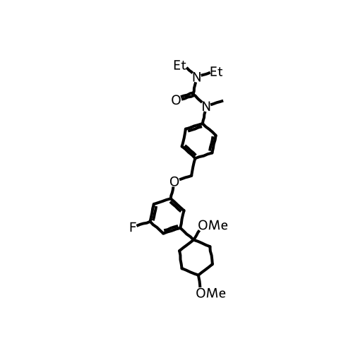 CCN(CC)C(=O)N(C)c1ccc(COc2cc(F)cc(C3(OC)CCC(OC)CC3)c2)cc1